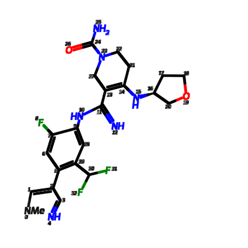 CN/C=C(\C=N)c1cc(F)c(NC(=N)C2=C(N[C@H]3CCOC3)CCN(C(N)=O)C2)cc1C(F)F